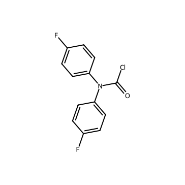 O=C(Cl)N(c1ccc(F)cc1)c1ccc(F)cc1